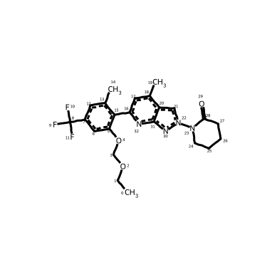 CCOCOc1cc(C(F)(F)F)cc(C)c1-c1cc(C)c2cn(N3CCCCC3=O)nc2n1